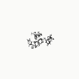 Cc1cnccc1C(=O)N1CCC2(CCN(Cc3cccc4c3OC(C)(C)C4)CC2)CC1.O=C(O)C(F)(F)F